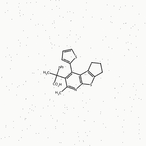 CCCC(C)(C(=O)O)c1c(C)nc2sc3c(c2c1-c1cccs1)CCC3